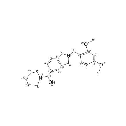 COc1ccc(CN2Cc3ccc(C(O)N4CCOCC4)cc3C2)c(OC)c1